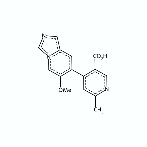 COc1cn2cncc2cc1-c1cc(C)ncc1C(=O)O